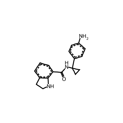 Nc1ccc(C2(NC(=O)c3cccc4c3NCC4)CC2)cc1